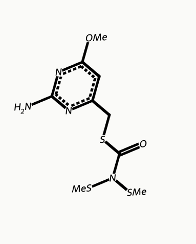 COc1cc(CSC(=O)N(SC)SC)nc(N)n1